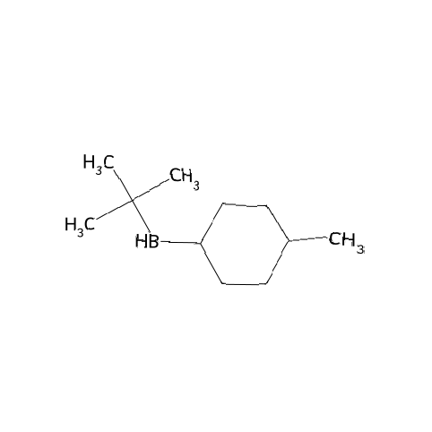 CC1CCC(BC(C)(C)C)CC1